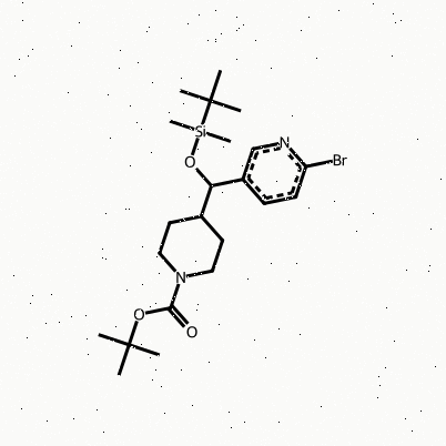 CC(C)(C)OC(=O)N1CCC(C(O[Si](C)(C)C(C)(C)C)c2ccc(Br)nc2)CC1